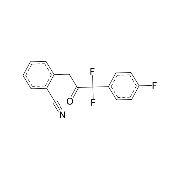 N#Cc1ccccc1CC(=O)C(F)(F)c1ccc(F)cc1